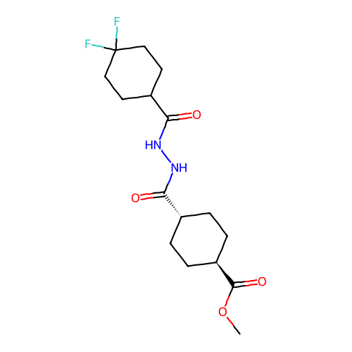 COC(=O)[C@H]1CC[C@H](C(=O)NNC(=O)C2CCC(F)(F)CC2)CC1